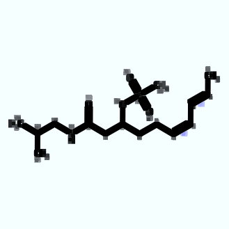 C/C=C/C=C\CCC(CC(=O)NCC(C)C)OS(C)(=O)=O